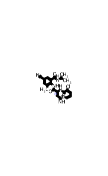 Cc1cc(C#N)cc(C(=O)NC(C)C)c1NC(=O)/C(=C/C(=N)Br)Nc1ncccc1Cl